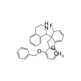 COC1=CC=CC(F)C1(Cc1ccccc1OCc1ccccc1)C1NCCc2ccccc21